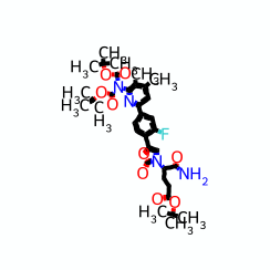 Cc1cc(-c2ccc(-c3cn(C(CCC(=O)OC(C)(C)C)C(N)=O)c(=O)o3)c(F)c2)nc(N(C(=O)OC(C)(C)C)C(=O)OC(C)(C)C)c1C